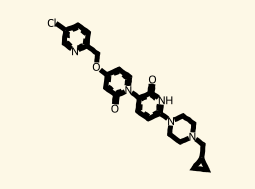 O=c1[nH]c(N2CCN(CC3CC3)CC2)ccc1-n1ccc(OCc2ccc(Cl)cn2)cc1=O